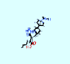 CCCC[C@H](C(=O)O)[C@H](Cc1ccc(C2CCN(C=N)CC2)cc1)c1nnn[nH]1